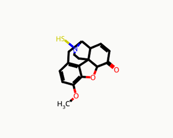 COc1ccc2c3c1OC1C(=O)C=CC4C(C2)N(S)CCC314